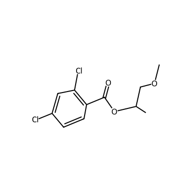 COCC(C)OC(=O)c1ccc(Cl)cc1Cl